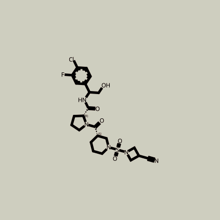 N#CC1CN(S(=O)(=O)N2CCC[C@H](C(=O)N3CCC[C@@H]3C(=O)NC(CO)c3ccc(Cl)c(F)c3)C2)C1